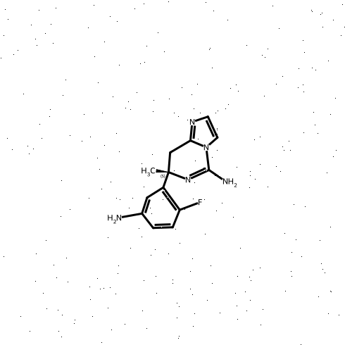 C[C@@]1(c2cc(N)ccc2F)Cc2nccn2C(N)=N1